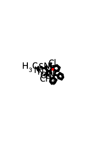 COc1nn(C(c2ccccc2)(c2ccccc2)c2ccccc2)c2cc(Cl)nc(-c3nnc(C)s3)c12